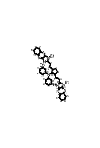 CCN1C(=C/C=C2\CCC(/C=C/c3n(CC)c4nc5ccccc5nc4[n+]3CC)=C2N(c2ccccc2)c2ccccc2)N(CC)c2nc3ccccc3nc21